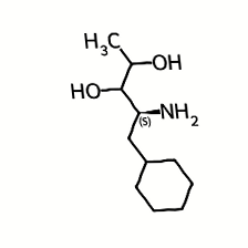 CC(O)C(O)[C@@H](N)CC1CCCCC1